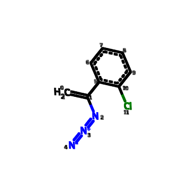 C=C(N=[N+]=[N-])c1ccccc1Cl